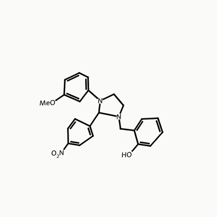 COc1cccc(N2CCN(Cc3ccccc3O)C2c2ccc([N+](=O)[O-])cc2)c1